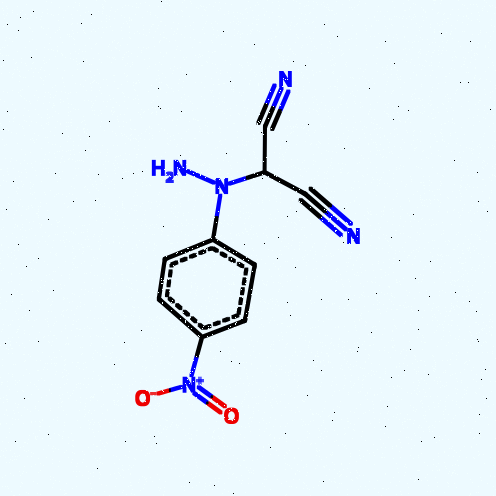 N#CC(C#N)N(N)c1ccc([N+](=O)[O-])cc1